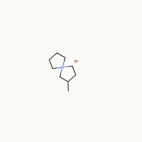 CC1CC[N+]2(CCCC2)C1.[Br-]